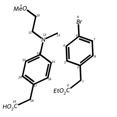 CCOC(=O)Cc1ccc(Br)cc1.COCCN(C)c1ccc(CC(=O)O)cc1